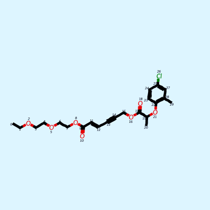 CCOCCOCCOC(=O)C=CC#CCOC(=O)C(C)Oc1ccc(Cl)cc1C